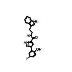 O=C(NCCc1c[nH]c2ccccc12)c1cc(-c2cc(F)ccc2O)n[nH]1